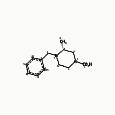 C[C@@H]1CN(C(=O)O)CCN1Cc1ccccn1